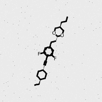 CCC[C@H]1CO[C@H](CCc2cc(F)c(C#C[C@H]3CC[C@H](CC)CC3)c(F)c2)OC1